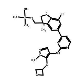 Cn1ncc(Nc2nccc(-c3cc(C#N)c4c(c3)[C@@](C)(CO[Si](C)(C)C(C)(C)C)CN4)n2)c1OC1COC1